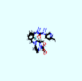 Cc1ccc(NC(=O)Nc2cccc(CN3CCN4C(=O)OC[C@H]4C3)c2F)cn1